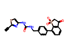 C#Cc1nc(NC(=O)NCc2ccc(-c3cccc4c3S(=O)(=O)CC4=O)cc2)cs1